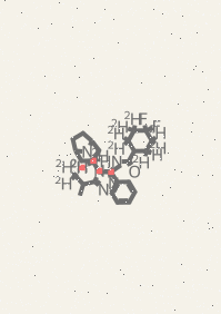 [2H]C([2H])([2H])C(C)c1nnc(C)n1C1CC2CCC(C1)N2C([2H])([2H])CC(NC(=O)C1C([2H])([2H])C([2H])([2H])C(F)(F)C([2H])([2H])C1([2H])[2H])c1ccccc1